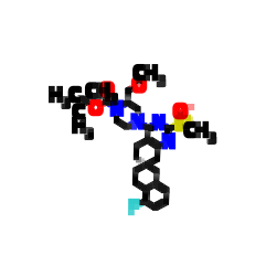 COC[C@H]1CN(c2nc([S+](C)[O-])nc3c2CC[C@]2(CCc4c(F)cccc4C2)C3)CCN1C(=O)OC(C)(C)C